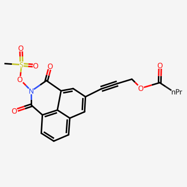 CCCC(=O)OCC#Cc1cc2c3c(cccc3c1)C(=O)N(OS(C)(=O)=O)C2=O